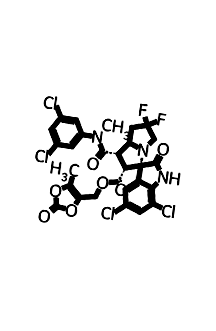 Cc1oc(=O)oc1COC(=O)[C@@H]1[C@H](C(=O)N(C)c2cc(Cl)cc(Cl)c2)C2CC(F)(F)CN2[C@@]12C(=O)Nc1c(Cl)cc(Cl)cc12